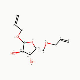 C=CCOC[C@H]1OC(OCC=C)[C@H](O)[C@H]1O